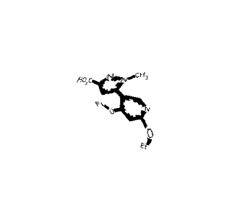 CCOc1cc(OCC)c(-c2cc(C(=O)O)nn2C)cn1